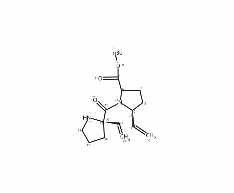 C=C[C@@H]1CCC(C(=O)OCCCC)N1C(=O)[C@]1(C=C)CCCN1